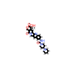 CC[C@@]1(O)C(=O)OCc2c1cc1n(c2=O)Cc2cc3cc(NC(=O)N4CCC(N5CCCCC5)CC4)ccc3nc2-1